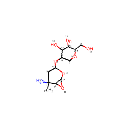 CC1(N)CC(OC2COC(CO)C(O)C2O)OC2OC21